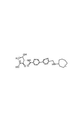 C[C@@H](O)[C@H](NC(=O)c1ccc(-c2ccc(CNC3CCCCCCC3)cc2)cc1)C(=O)NO